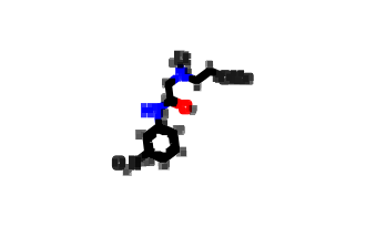 CCN(CCOC)CC(=O)Nc1cccc([N+](=O)[O-])c1